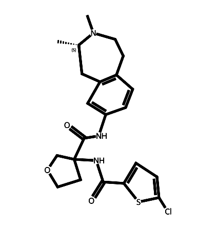 C[C@H]1Cc2cc(NC(=O)C3(NC(=O)c4ccc(Cl)s4)CCOC3)ccc2CCN1C